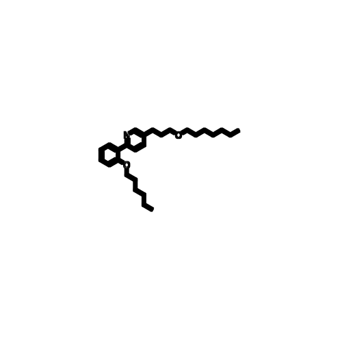 CCCCCCCOCCCc1ccc(-c2ccccc2OCCCCCC)nc1